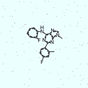 Cc1cc(F)ccc1-c1nc(Nc2ccccc2F)c2ncn(C)c2n1